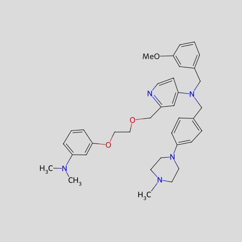 COc1cccc(CN(Cc2ccc(N3CCN(C)CC3)cc2)c2ccnc(COCCOc3cccc(N(C)C)c3)c2)c1